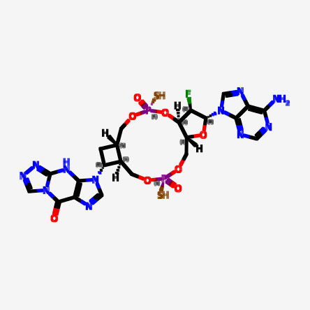 Nc1ncnc2c1ncn2[C@@H]1O[C@@H]2CO[P@@](=O)(S)OC[C@@H]3[C@@H](CO[P@](=O)(S)O[C@H]2[C@H]1F)C[C@H]3n1cnc2c(=O)n3cnnc3[nH]c21